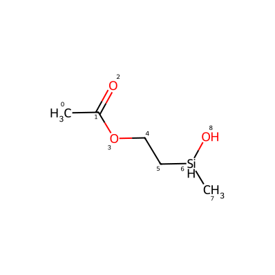 CC(=O)OCC[SiH](C)O